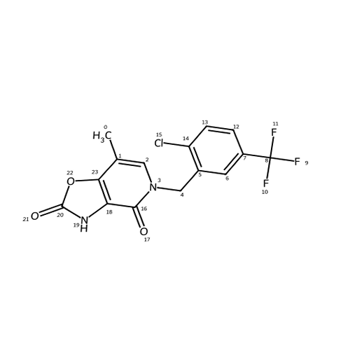 Cc1cn(Cc2cc(C(F)(F)F)ccc2Cl)c(=O)c2[nH]c(=O)oc12